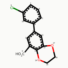 O=C(O)c1cc(-c2cccc(Cl)c2)cc2c1OCCO2